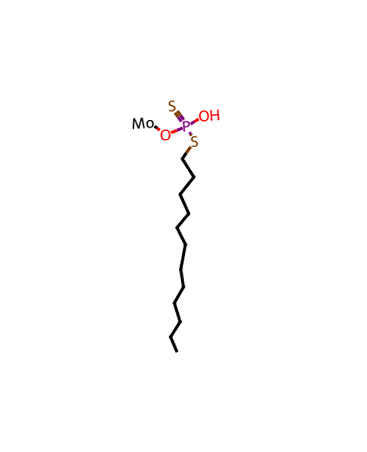 CCCCCCCCCCCCSP(O)(=S)[O][Mo]